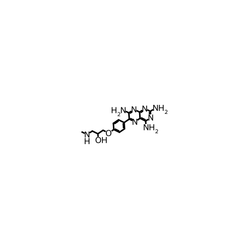 CNCC(O)COc1ccc(-c2nc3c(N)nc(N)nc3nc2N)cc1